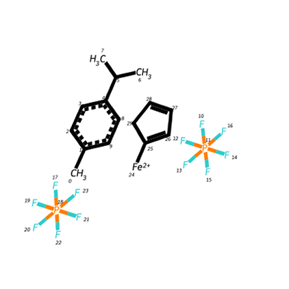 Cc1ccc(C(C)C)cc1.F[P-](F)(F)(F)(F)F.F[P-](F)(F)(F)(F)F.[Fe+2][C]1=CC=CC1